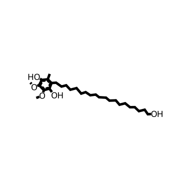 COc1c(O)c(C)c(CCCCCCCCCCCCCCCCCCCCO)c(O)c1OC